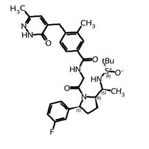 Cc1cc(Cc2ccc(C(=O)NCC(=O)N3[C@@H]([C@H](C)N[S@@+]([O-])C(C)(C)C)CC[C@H]3c3cccc(F)c3)cc2C)c(=O)[nH]n1